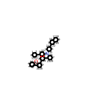 c1ccc(-c2ccc(N(c3ccc(-c4ccc5ccccc5c4)cc3)c3ccccc3-c3cccc(-c4cccc5c4oc4ccccc45)c3)cc2)cc1